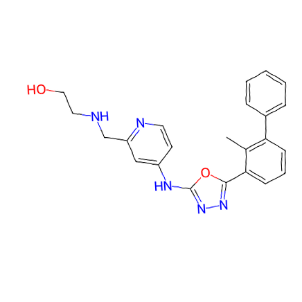 Cc1c(-c2ccccc2)cccc1-c1nnc(Nc2ccnc(CNCCO)c2)o1